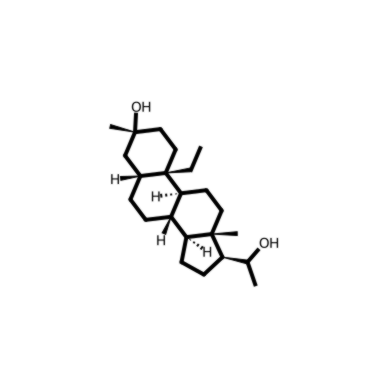 CC[C@]12CC[C@@](C)(O)C[C@H]1CC[C@H]1[C@@H]3CC[C@H](C(C)O)[C@@]3(C)CC[C@@H]12